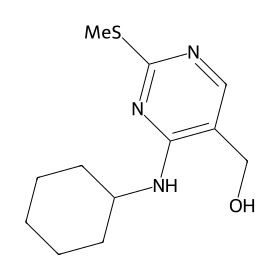 CSc1ncc(CO)c(NC2CCCCC2)n1